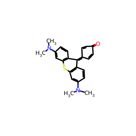 CN(C)c1ccc2c(c1)Sc1cc(N(C)C)ccc1C2=C1C=CC(=O)C=C1